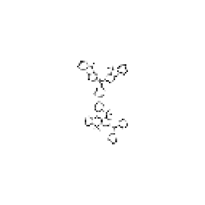 CC1(C)c2ccccc2-c2ccc(N(c3ccc(-c4ccc5c(c4)C(C)(C)c4cc(N(c6ccccc6)c6ccccc6)cc6c4N5c4ccccc4C6(C)C)cc3)c3ccc4c(c3)C(C)(C)c3ccccc3-4)cc21